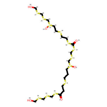 O=C(CCSCCC[S+]([O-])CSCSC(=O)SCCSCC[S+]([O-])CSCSCO)SCSCSCO